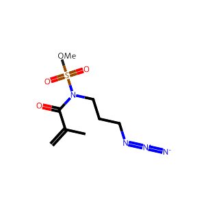 C=C(C)C(=O)N(CCCN=[N+]=[N-])S(=O)(=O)OC